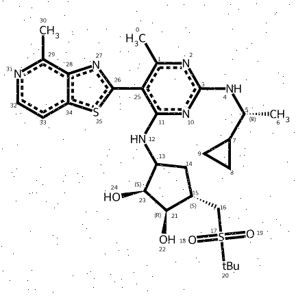 Cc1nc(N[C@H](C)C2CC2)nc(NC2C[C@H](CS(=O)(=O)C(C)(C)C)[C@@H](O)[C@H]2O)c1-c1nc2c(C)nccc2s1